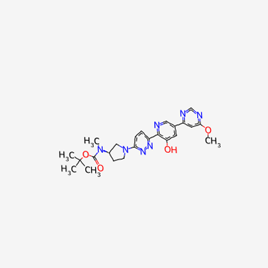 COc1cc(-c2cnc(-c3ccc(N4CC[C@@H](N(C)C(=O)OC(C)(C)C)C4)nn3)c(O)c2)ncn1